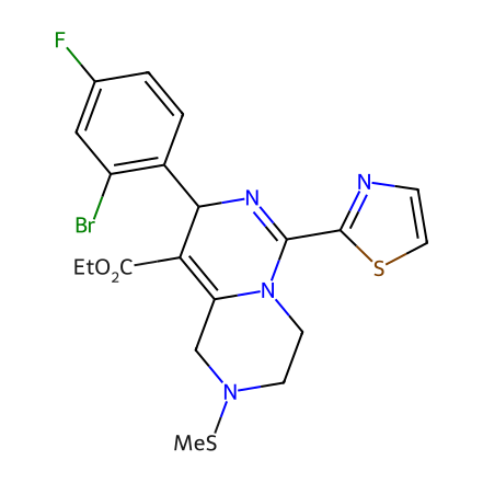 CCOC(=O)C1=C2CN(SC)CCN2C(c2nccs2)=NC1c1ccc(F)cc1Br